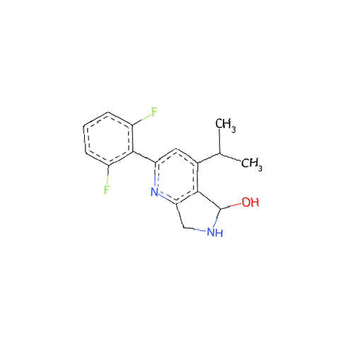 CC(C)c1cc(-c2c(F)cccc2F)nc2c1C(O)NC2